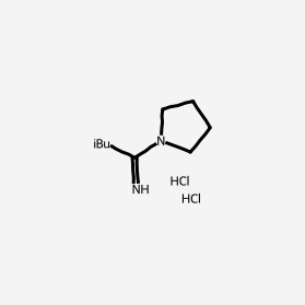 CCC(C)C(=N)N1CCCC1.Cl.Cl